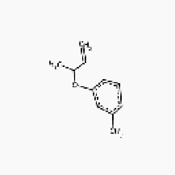 C=CC(C)Oc1cccc(C)c1